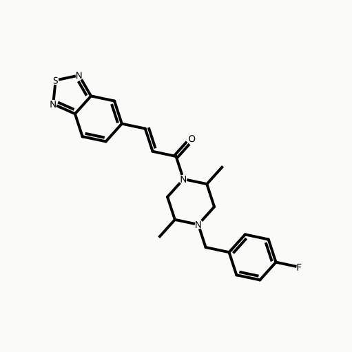 CC1CN(C(=O)C=Cc2ccc3nsnc3c2)C(C)CN1Cc1ccc(F)cc1